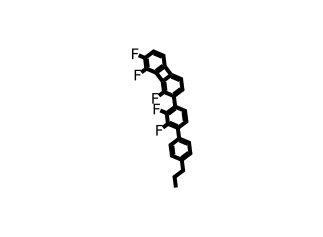 CCCc1ccc(-c2ccc(-c3ccc4c(c3F)-c3c-4ccc(F)c3F)c(F)c2F)cc1